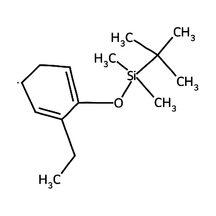 CCC1=C[CH]CC=C1O[Si](C)(C)C(C)(C)C